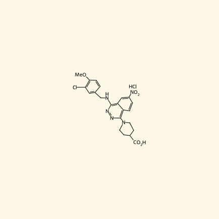 COc1ccc(CNc2nnc(N3CCC(C(=O)O)CC3)c3ccc([N+](=O)[O-])cc23)cc1Cl.Cl